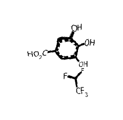 FC(F)C(F)(F)F.O=C(O)c1cc(O)c(O)c(O)c1